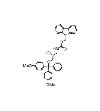 COc1ccc(C(OCC(O)CNC(=O)OCC2c3ccccc3-c3ccccc32)(c2ccccc2)c2ccc(OC)cc2)cc1